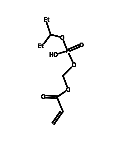 C=CC(=O)OCOP(=O)(O)OC(CC)CC